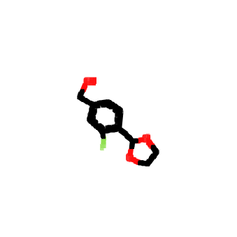 OCc1ccc(C2OCCO2)c(F)c1